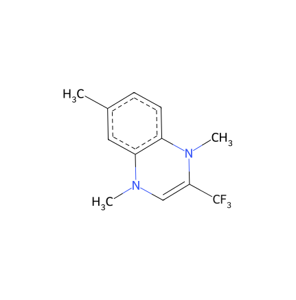 Cc1ccc2c(c1)N(C)C=C(C(F)(F)F)N2C